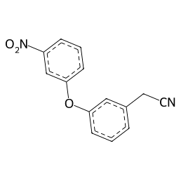 N#CCc1cccc(Oc2cccc([N+](=O)[O-])c2)c1